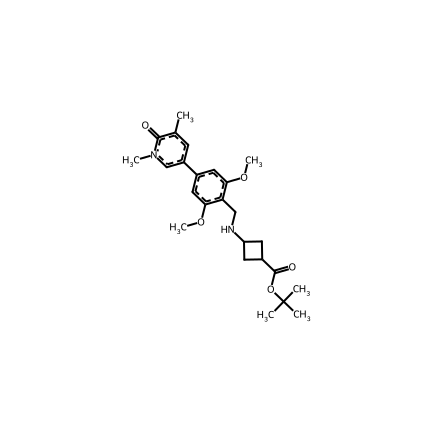 COc1cc(-c2cc(C)c(=O)n(C)c2)cc(OC)c1CNC1CC(C(=O)OC(C)(C)C)C1